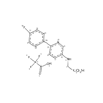 O=C(O)C(F)(F)F.O=C(O)CNc1ccc(-c2ccc(F)cc2)nc1